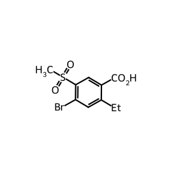 CCc1cc(Br)c(S(C)(=O)=O)cc1C(=O)O